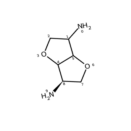 NC1COC2C1OC[C@H]2N